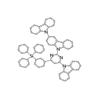 c1ccc([Si](c2ccccc2)(c2ccccc2)c2cccc(-c3cc(-n4c5ccccc5c5ccccc54)nc(-n4c5ccccc5c5cc(-n6c7ccccc7c7ccccc76)ccc54)n3)c2)cc1